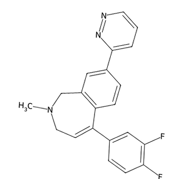 CN1CC=C(c2ccc(F)c(F)c2)c2ccc(-c3cccnn3)cc2C1